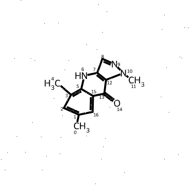 Cc1cc(C)c2[nH]c3cnn(C)c3c(=O)c2c1